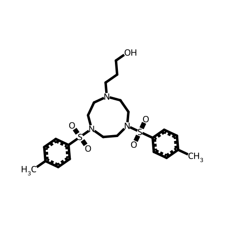 Cc1ccc(S(=O)(=O)N2CCN(CCCO)CCN(S(=O)(=O)c3ccc(C)cc3)CC2)cc1